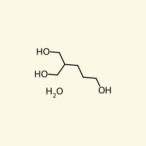 O.OCCCC(CO)CO